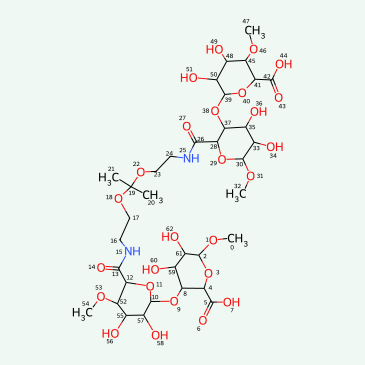 COC1OC(C(=O)O)C(OC2OC(C(=O)NCCOC(C)(C)OCCNC(=O)C3OC(OC)C(O)C(O)C3OC3OC(C(=O)O)C(OC)C(O)C3O)C(OC)C(O)C2O)C(O)C1O